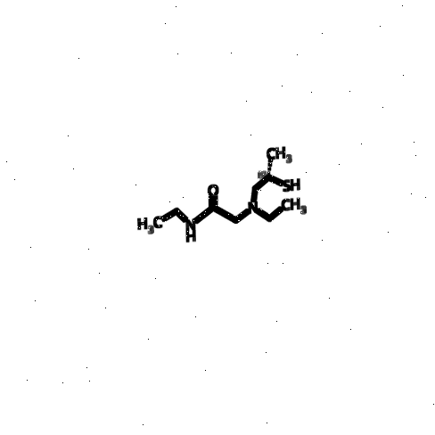 CCNC(=O)CN(CC)C[C@H](C)S